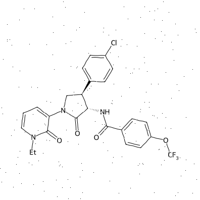 CCn1cccc(N2C[C@@H](c3ccc(Cl)cc3)[C@H](NC(=O)c3ccc(OC(F)(F)F)cc3)C2=O)c1=O